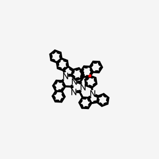 c1ccc(-n2c3ccccc3c3cccc(-c4nc(-c5ccc6ccccc6c5)nc(-c5c(-n6c7ccccc7c7cc8ccccc8cc76)ccc6ccccc56)n4)c32)cc1